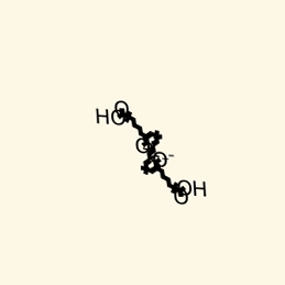 CC1(C)C=C(C=CC2=CC(C)(C)C=C(CCCCC(C)(C)C(=O)O)[S+]2[O-])[S+]([O-])C(CCCCC(C)(C)C(=O)O)=C1